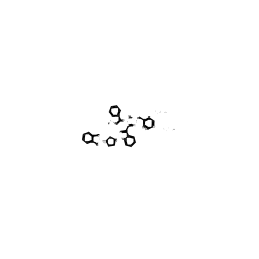 COc1ccc(Cn2c(C#N)c(-c3cn([C@H]4CC[C@H](N5C(=O)c6ccccc6C5=O)C4)c4ccccc34)n(-c3cn(C)c4ccccc34)c2=O)c(OC)c1